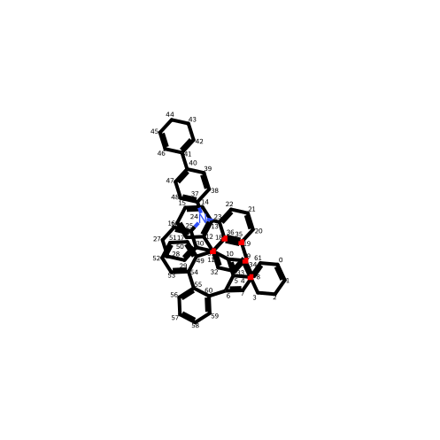 C1=CCCC(c2c3cccc2C(c2ccccc2)(c2ccccc2N(C2=CCCC=C2c2ccccc2)c2ccc(C4=CCCC=C4)cc2)c2ccccc2-c2ccccc2-3)=C1